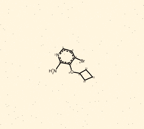 Nc1nccc(Br)c1OC1CCC1